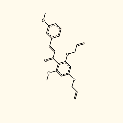 C=CCOc1cc(OC)c(C(=O)C=Cc2cccc(OC)c2)c(OCC=C)c1